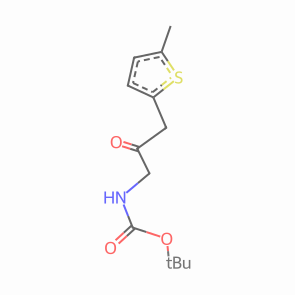 Cc1ccc(CC(=O)CNC(=O)OC(C)(C)C)s1